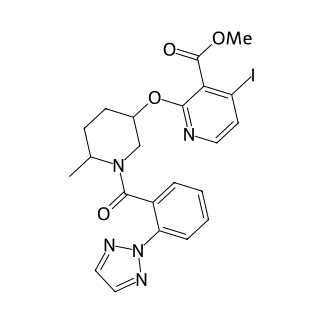 COC(=O)c1c(I)ccnc1OC1CCC(C)N(C(=O)c2ccccc2-n2nccn2)C1